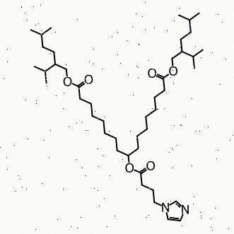 CC(C)CCC(COC(=O)CCCCCCCC(CCCCCCCC(=O)OCC(CCC(C)C)C(C)C)OC(=O)CCCn1ccnc1)C(C)C